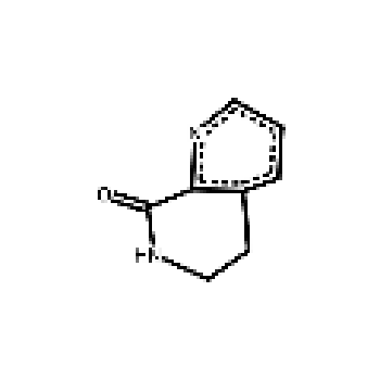 O=C1NCCc2cccnc21